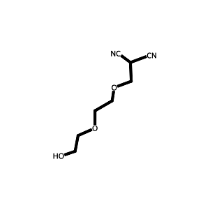 N#CC(C#N)COCCOCCO